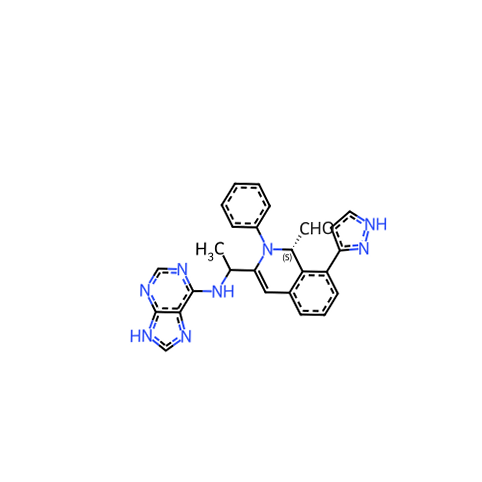 CC(Nc1ncnc2[nH]cnc12)C1=Cc2cccc(-c3cc[nH]n3)c2[C@@H](C=O)N1c1ccccc1